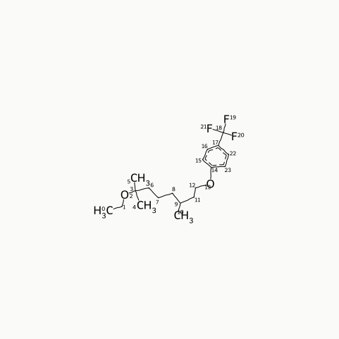 CCOC(C)(C)CCCC(C)CCOc1ccc(C(F)(F)F)cc1